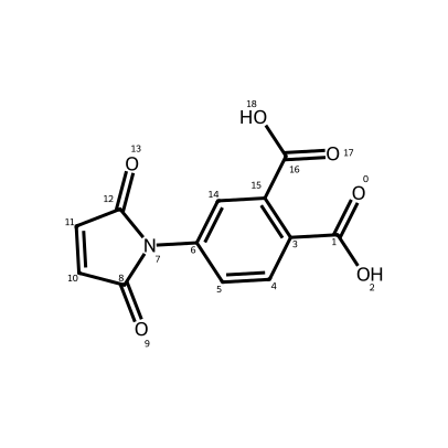 O=C(O)c1ccc(N2C(=O)C=CC2=O)cc1C(=O)O